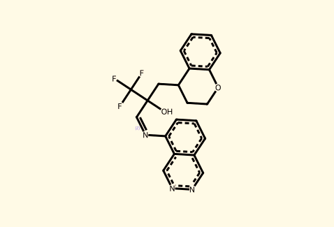 OC(/C=N\c1cccc2cnncc12)(CC1CCOc2ccccc21)C(F)(F)F